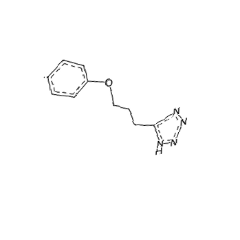 [c]1ccc(OCCCc2nnn[nH]2)cc1